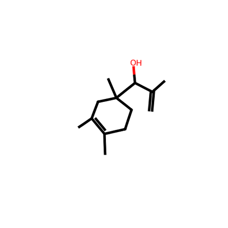 C=C(C)C(O)C1(C)CCC(C)=C(C)C1